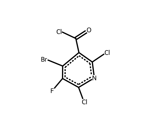 O=C(Cl)c1c(Cl)nc(Cl)c(F)c1Br